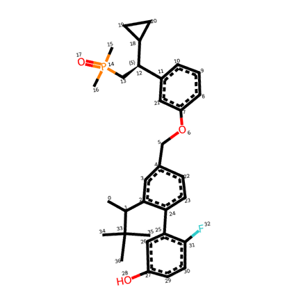 CC(c1cc(COc2cccc([C@@H](CP(C)(C)=O)C3CC3)c2)ccc1-c1cc(O)ccc1F)C(C)(C)C